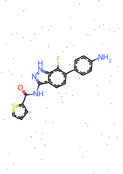 Nc1ccc(-c2ccc3c(NC(=O)c4[c]ccs4)n[nH]c3c2F)cc1